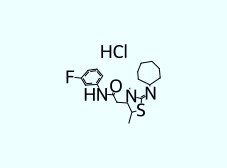 CC1SC(=NC2CCCCCC2)N(C)C1CC(=O)Nc1cccc(F)c1.Cl